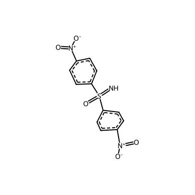 N=S(=O)(c1ccc([N+](=O)[O-])cc1)c1ccc([N+](=O)[O-])cc1